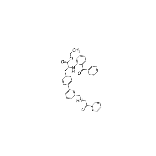 CCOC(=O)[C@H](Cc1ccc(-c2cccc(CNCC(=O)c3ccccc3)c2)cc1)Nc1ccccc1C(=O)c1ccccc1